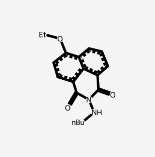 CCCCNN1C(=O)c2cccc3c(OCC)ccc(c23)C1=O